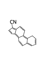 N#CC1=c2ccc3c4c(ccc3c2C=C1)=CC=CC4